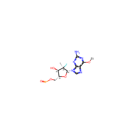 CCOc1nc(N)nc2c1ncn2[C@@H]1O[C@H](COP=O)[C@@H](O)[C@@]1(C)F